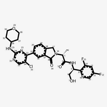 C[C@H](C(=O)N[C@H](CO)c1ncc(F)cc1F)N1Cc2ccc(-c3nc(NC4CCOCC4)ncc3Cl)cc2C1=O